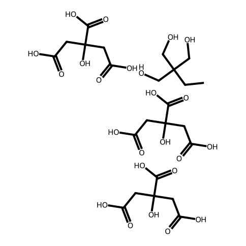 CCC(CO)(CO)CO.O=C(O)CC(O)(CC(=O)O)C(=O)O.O=C(O)CC(O)(CC(=O)O)C(=O)O.O=C(O)CC(O)(CC(=O)O)C(=O)O